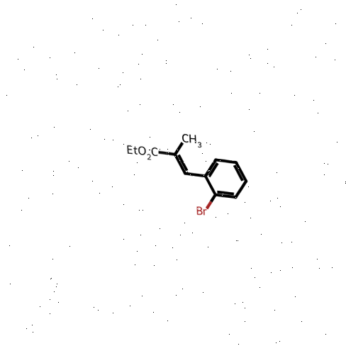 CCOC(=O)C(C)=Cc1ccccc1Br